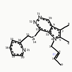 C/C=C/Cn1c(C)c(C)c2cnnc(SCc3ccccn3)c21